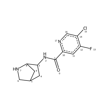 O=C(NC1CC2CNC1C2)c1cc(F)c(Cl)cn1